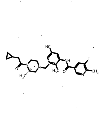 Cc1ncc(C(=O)Nc2cc(C#N)cc(CN3CCN(C(=O)CC4CC4)[C@@H](C)C3)c2C)cc1F